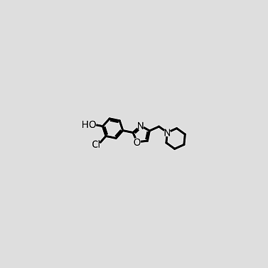 Oc1ccc(-c2nc(CN3CCCCC3)co2)cc1Cl